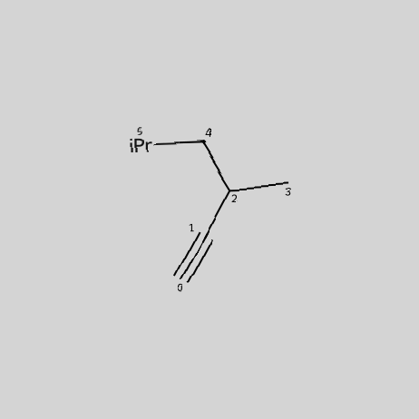 C#CC(C)CC([CH2])C